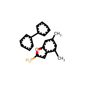 Cc1cc(C)c2cc(P)oc2c1.c1ccc(-c2ccccc2)cc1